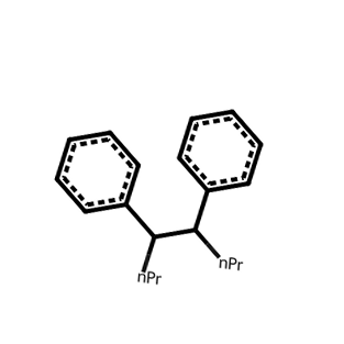 CCCC(c1ccccc1)C(CCC)c1ccccc1